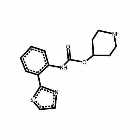 O=C(Nc1ccccc1-c1nccs1)OC1CCNCC1